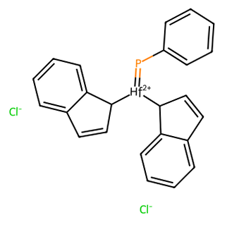 C1=C[CH]([Hf+2](=[P]c2ccccc2)[CH]2C=Cc3ccccc32)c2ccccc21.[Cl-].[Cl-]